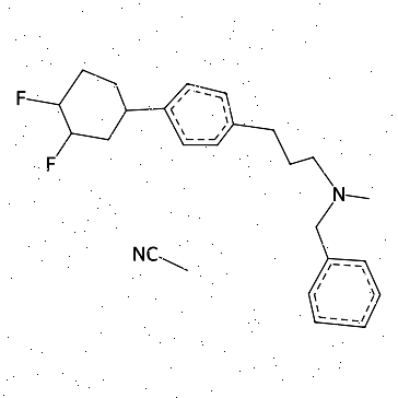 CC#N.CN(CCCc1ccc(C2CCC(F)C(F)C2)cc1)Cc1ccccc1